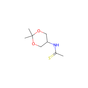 CC(=S)NC1COC(C)(C)OC1